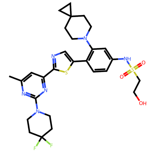 Cc1cc(-c2ncc(-c3ccc(NS(=O)(=O)CCO)cc3N3CCC4(CC3)CC4)s2)nc(N2CCC(F)(F)CC2)n1